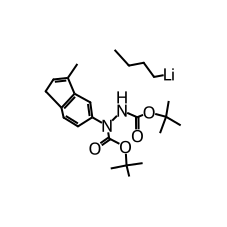 CC1=CCc2ccc(N(NC(=O)OC(C)(C)C)C(=O)OC(C)(C)C)cc21.[Li][CH2]CCC